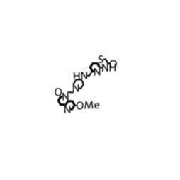 COc1cnc2ccc(=O)n(CCN3CCC(NCc4ccc5c(n4)NC(=O)CS5)CC3)c2c1